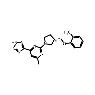 Cc1cc(-c2nn[nH]n2)nc(N2CC[C@H](COc3ccccc3C(F)(F)F)C2)n1